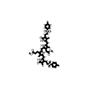 COC(=O)CCC1=C(C)C(/C=C2\NC(=O)C(C)=C2CCS(=O)(=O)c2ccc(C)cc2)=NC/1=C\c1[nH]c(/C=C2\NC(=O)C(CCS(=O)(=O)c3ccc(C)cc3)=C2C)c(C)c1CC(=O)OC